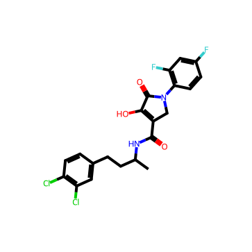 CC(CCc1ccc(Cl)c(Cl)c1)NC(=O)C1=C(O)C(=O)N(c2ccc(F)cc2F)C1